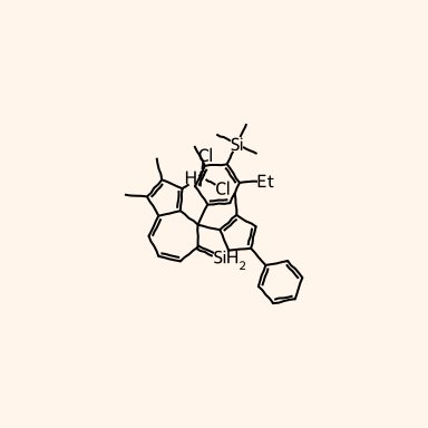 CCc1cc(C2(C3=C(C)C=C(c4ccccc4)C3)C(=[SiH2])C=CC=C3C(C)=C(C)[C]([Hf]([Cl])[Cl])=C32)cc(C)c1[Si](C)(C)C